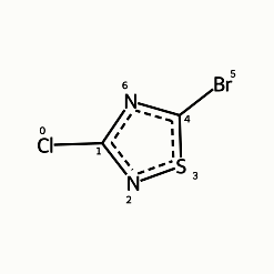 Clc1nsc(Br)n1